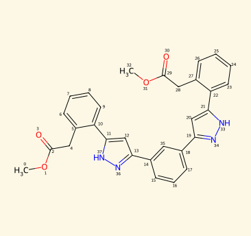 COC(=O)Cc1ccccc1-c1cc(-c2cccc(-c3cc(-c4ccccc4CC(=O)OC)[nH]n3)c2)n[nH]1